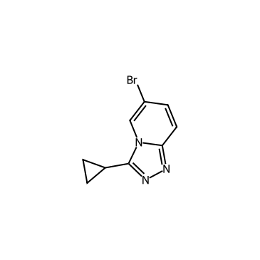 Brc1ccc2nnc(C3CC3)n2c1